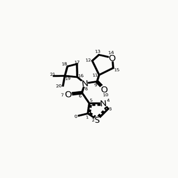 Cc1scnc1C(=O)N(C(=O)C1CCOC1)C1CCC1(C)C